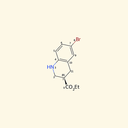 CCOC(=O)[C@H]1CNc2ccc(Br)cc2C1